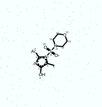 CC(=O)c1nc(O)c(C)n1S(=O)(=O)N1CCOCC1